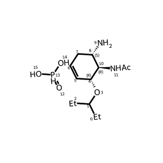 CCC(CC)O[C@@H]1C=CC[C@H](N)[C@H]1NC(C)=O.O=[PH](O)O